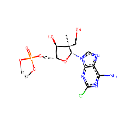 CCOP(=O)(OCC)OC[C@H]1O[C@@H](n2cnc3c(N)nc(Cl)nc32)[C@](C)(CO)[C@@H]1O